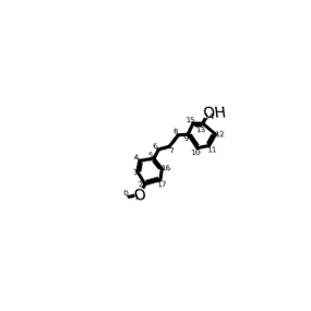 COc1ccc(CCCc2cccc(O)c2)cc1